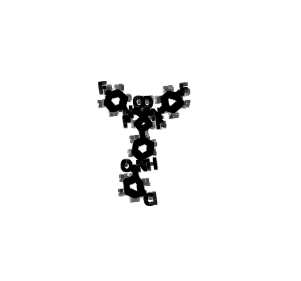 O=C(Nc1ccc(C2CC(C(=O)N(F)c3ccc(F)cc3)(C(=O)N(F)c3ccc(F)cc3)C2)cc1)c1cccc(Cl)c1